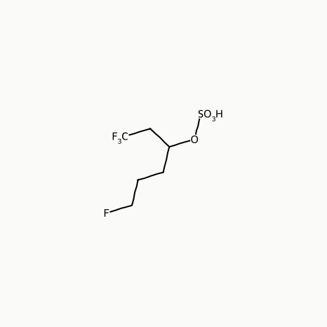 O=S(=O)(O)OC(CCCF)CC(F)(F)F